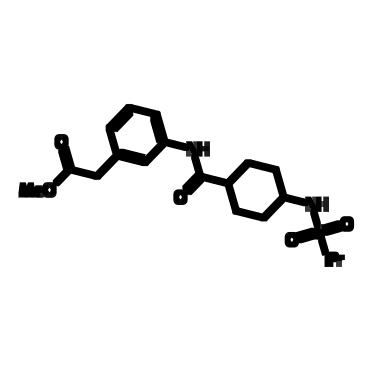 COC(=O)Cc1cccc(NC(=O)C2CCC(NS(=O)(=O)C(C)C)CC2)c1